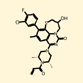 C=CC(=O)N1[C@H](C)CN(c2nc(=O)n3c4c(c(-c5ccc(F)c(Cl)c5)c(C)cc24)SCC(O)C3)C[C@@H]1C